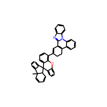 CC12C=CC=CC1C1(c3ccccc3Oc3c(C4=Cc5c(c6ccccc6n6c5nc5ccccc56)CC4)cccc31)c1ccccc12